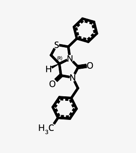 Cc1ccc(CN2C(=O)[C@@H]3CSC(c4ccccc4)N3C2=O)cc1